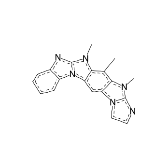 Cc1c2c(cc3c1n(C)c1nc4ccccc4n31)n1ccnc1n2C